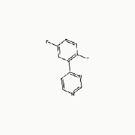 Fc1ccc(F)c(-c2ccncn2)c1